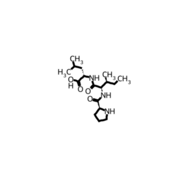 CC[C@H](C)[C@H](NC(=O)[C@@H]1CCCN1)C(=O)N[C@@H](CC(C)C)C(=O)O